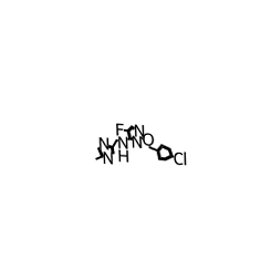 Cc1cnc(CNc2nc(OCc3ccc(Cl)cc3)ncc2F)cn1